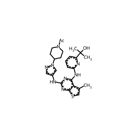 CC(=O)N1CCC(n2cc(Nc3nc(Nc4cccc(C(C)(C)O)n4)c4c(C)csc4n3)cn2)CC1